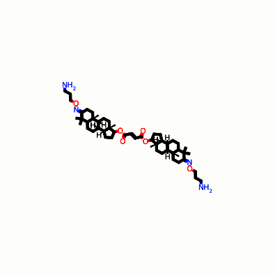 CC1(C)/C(=N/OCCCN)CC[C@@]2(C)C1CC[C@@H]1[C@H]2CC[C@]2(C)C(OC(=O)/C=C/C(=O)OC3CC[C@H]4[C@@H]5CCC6C(C)(C)/C(=N/OCCCN)CC[C@]6(C)[C@@H]5CC[C@]34C)CC[C@@H]12